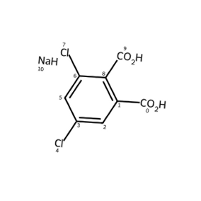 O=C(O)c1cc(Cl)cc(Cl)c1C(=O)O.[NaH]